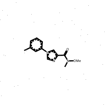 CON(C)C(=O)c1cn(-c2cccc(C)c2)cn1